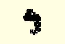 C=CC(=O)N1CCN(c2ncnc3c(F)c(-c4cc(O)cc5ccccc45)ncc23)CC1